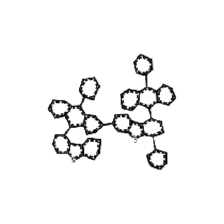 c1ccc(-c2c3ccccc3c(-c3cccc4sc5ccccc5c34)c3ccc(-c4ccc5c(c4)sc4c(-c6ccccc6)ccc(-c6c7ccccc7c(-c7ccccc7)c7ccccc67)c45)cc23)cc1